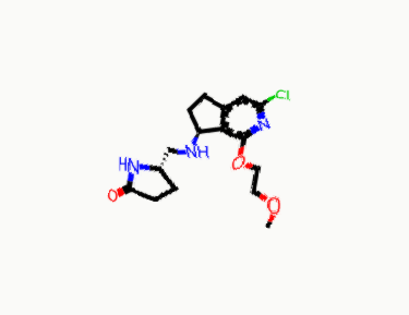 COCCOc1nc(Cl)cc2c1[C@@H](NC[C@@H]1CCC(=O)N1)CC2